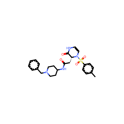 Cc1ccc(S(=O)(=O)N2C=CNC(=O)[C@H]2CC(=O)NC2CCN(Cc3ccccc3)CC2)cc1